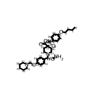 CCCCOc1ccc(S(=O)(=O)C2(C(=O)O)CCN(Cc3ccc(OCN4CCCCC4)cc3)CC2)cc1.NO